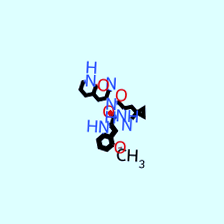 COc1cccc2[nH]c(C(=O)NC(CC3(C#N)CC3)C(=O)NC(C#N)CC3CCCNC3=O)cc12